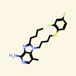 CCCCc1nc2c(N)ncc(C)c2n1CCCCSc1ccc(F)cc1F